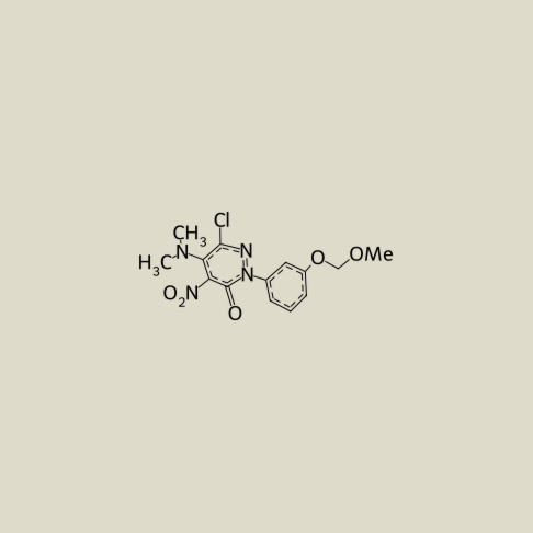 COCOc1cccc(-n2nc(Cl)c(N(C)C)c([N+](=O)[O-])c2=O)c1